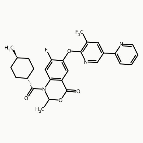 CC1OC(=O)c2cc(Oc3ncc(-c4ccccn4)cc3C(F)(F)F)c(F)cc2N1C(=O)[C@H]1CC[C@H](C)CC1